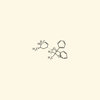 C=C[C@H](CO[Si](c1ccccc1)(c1ccccc1)C(C)(C)C)C[C@@H](C)O